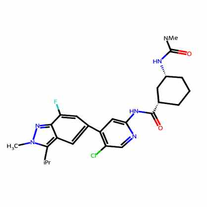 CNC(=O)N[C@@H]1CCC[C@H](C(=O)Nc2cc(-c3cc(F)c4nn(C)c(C(C)C)c4c3)c(Cl)cn2)C1